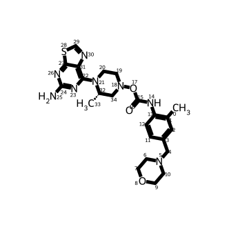 Cc1cc(CN2CCOCC2)ccc1NC(=O)ON1CCN(c2nc(N)nc3scnc23)[C@@H](C)C1